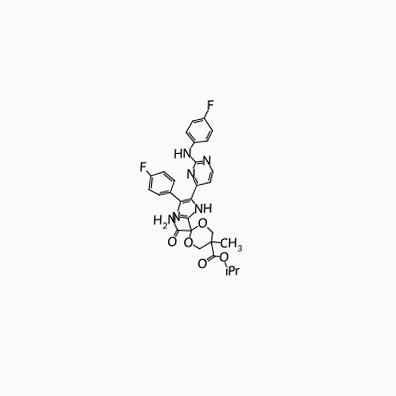 CC(C)OC(=O)C1(C)COC(C(N)=O)(c2nc(-c3ccc(F)cc3)c(-c3ccnc(Nc4ccc(F)cc4)n3)[nH]2)OC1